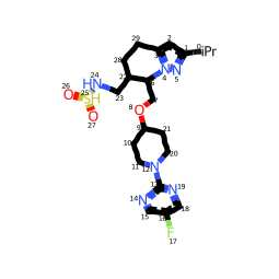 CC(C)c1cc2n(n1)C(COC1CCN(c3ncc(F)cn3)CC1)C(CN[SH](=O)=O)CC2